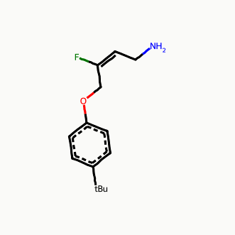 CC(C)(C)c1ccc(OC/C(F)=C\CN)cc1